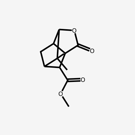 COC(=O)C1C2C(=O)OC3C2CC1C3(C)C